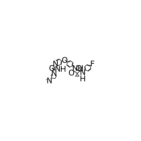 CN(C)C1CCN(C(=O)Nc2cc(Oc3ccc(NC(=O)C4(C(=O)Nc5ccc(F)cc5)CC4)cc3)ccn2)C1